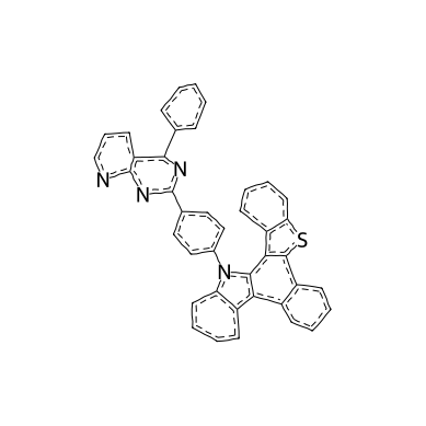 c1ccc(-c2nc(-c3ccc(-n4c5ccccc5c5c6ccccc6c6sc7ccccc7c6c54)cc3)nc3ncccc23)cc1